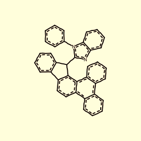 c1ccc(-n2c(C3c4ccccc4-c4ccc5c6ccccc6c6ccccc6c5c43)nc3ccccc32)cc1